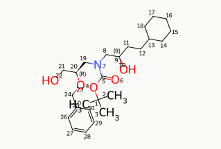 CC(C)(C)OC(=O)N(C[C@H](O)CCC1CCCCC1)C[C@H](CO)OCc1ccccc1